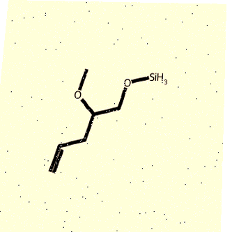 C=CCC(CO[SiH3])OC